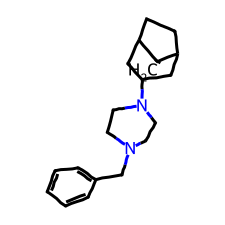 C=C1C2CCC1CC(N1CCN(Cc3ccccc3)CC1)C2